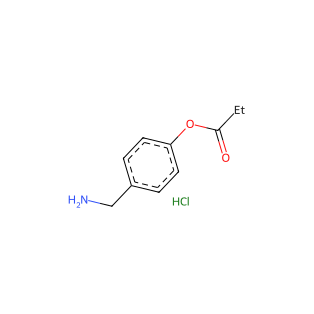 CCC(=O)Oc1ccc(CN)cc1.Cl